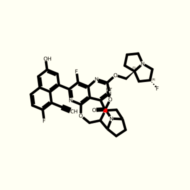 C#Cc1c(F)ccc2cc(O)cc(-c3nc4c5c(nc(OC[C@@]67CCCN6C[C@H](F)C7)nc5c3F)N3CC5CCC(C3CO4)N5C(=O)OC(C)C)c12